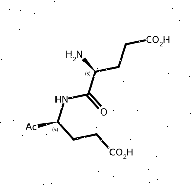 CC(=O)[C@H](CCC(=O)O)NC(=O)[C@@H](N)CCC(=O)O